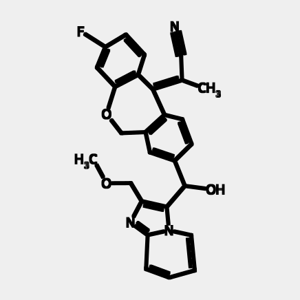 COCc1nc2ccccn2c1C(O)c1ccc2c(c1)COc1cc(F)ccc1C2=C(C)C#N